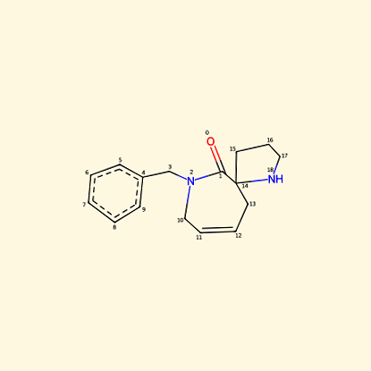 O=C1N(Cc2ccccc2)CC=CCC12CCCN2